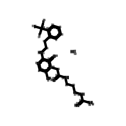 Cc1cnc(NCCc2ccccc2C(F)(F)F)c(=O)n1CC(=O)NCCONC(=N)N.Cl